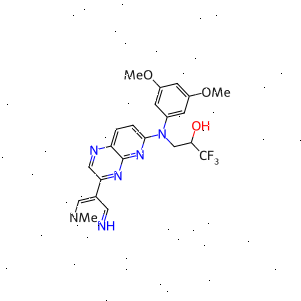 CN/C=C(\C=N)c1cnc2ccc(N(CC(O)C(F)(F)F)c3cc(OC)cc(OC)c3)nc2n1